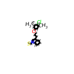 Cc1cc(OCCCc2cn(C=S)c3ccccc23)cc(C)c1Cl